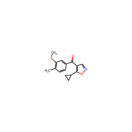 CSc1cc(C(=O)c2cnoc2C2CC2)ccc1C